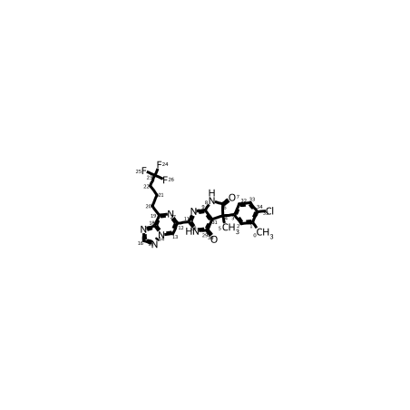 Cc1cc(C2(C)C(=O)Nc3nc(-c4cn5ncnc5c(CCCC(F)(F)F)n4)[nH]c(=O)c32)ccc1Cl